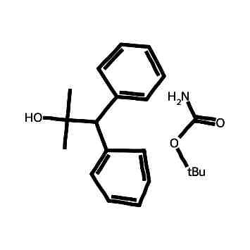 CC(C)(C)OC(N)=O.CC(C)(O)C(c1ccccc1)c1ccccc1